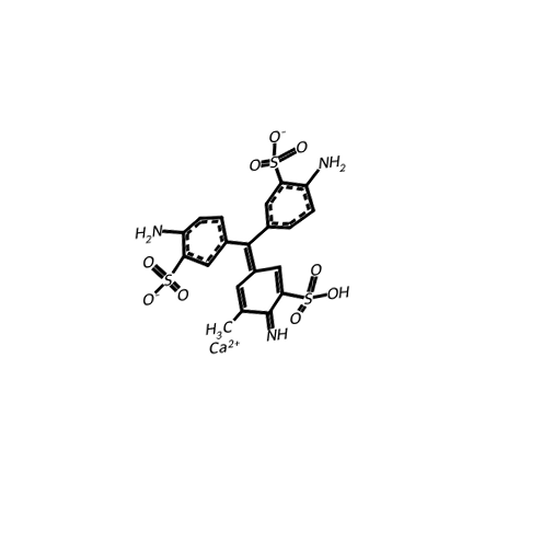 CC1=CC(=C(c2ccc(N)c(S(=O)(=O)[O-])c2)c2ccc(N)c(S(=O)(=O)[O-])c2)C=C(S(=O)(=O)O)C1=N.[Ca+2]